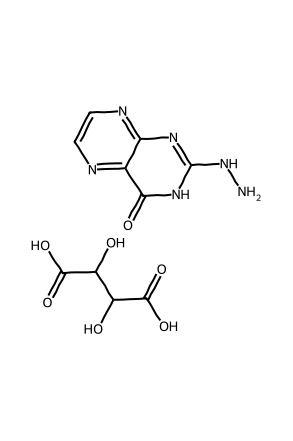 NNc1nc2nccnc2c(=O)[nH]1.O=C(O)C(O)C(O)C(=O)O